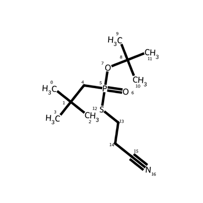 CC(C)(C)CP(=O)(OC(C)(C)C)SCCC#N